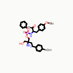 CCCCCCCCc1ccc(CCC(N)(CO)COP(=O)(NC(Cc2ccc(OC(C)(C)C)cc2)C(=O)OC)Oc2ccccc2)cc1